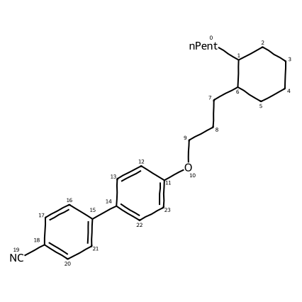 CCCCCC1CCCCC1CCCOc1ccc(-c2ccc(C#N)cc2)cc1